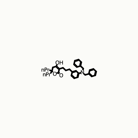 CCCC1(CCC)CC(O)=C(CCCc2cccc(N(Cc3ccccc3)Cc3ccccc3)c2)C(=O)O1